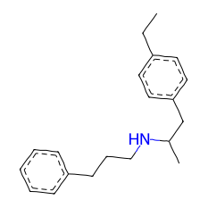 CCc1ccc(CC(C)NCCCc2ccccc2)cc1